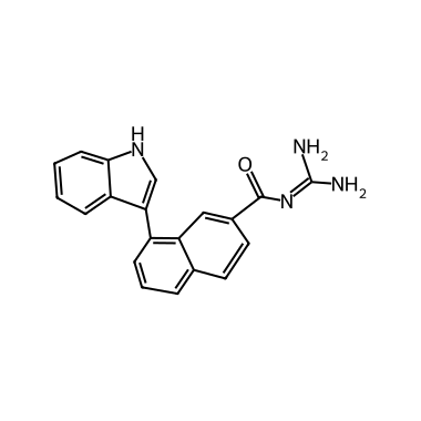 NC(N)=NC(=O)c1ccc2cccc(-c3c[nH]c4ccccc34)c2c1